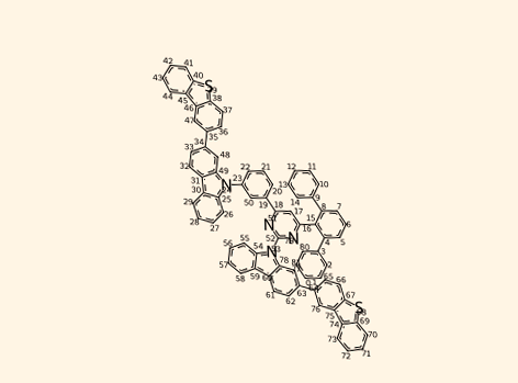 c1ccc(-c2cccc(-c3ccccc3)c2-c2cc(-c3cccc(-n4c5ccccc5c5ccc(-c6ccc7sc8ccccc8c7c6)cc54)c3)nc(-n3c4ccccc4c4ccc(-c5ccc6sc7ccccc7c6c5)cc43)n2)cc1